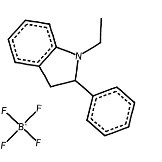 CCN1c2ccccc2CC1c1ccccc1.F[B-](F)(F)F